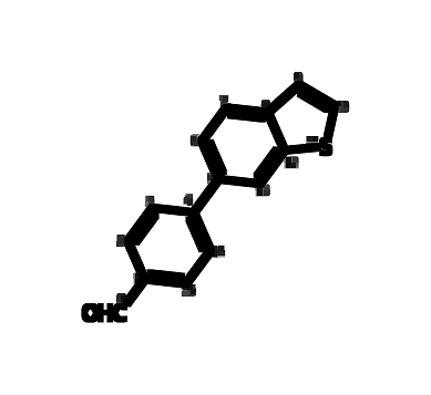 O=Cc1ccc(-c2ccc3ccsc3c2)cc1